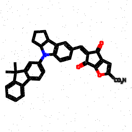 CC1(C)c2ccccc2-c2ccc(N3c4ccc(C=C5C(=O)c6cc(C(=O)O)oc6C5=O)cc4C4CCCC43)cc21